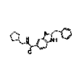 O=C(NCC1CCCC1)c1ccc2[nH]c(Cc3ccccc3)nc2c1